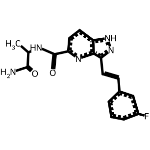 CC(NC(=O)c1ccc2[nH]nc(/C=C/c3cccc(F)c3)c2n1)C(N)=O